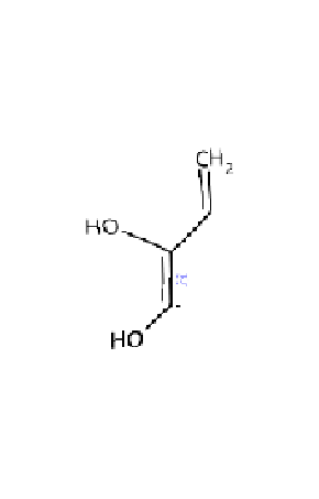 C=C/C(O)=[C]/O